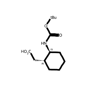 CC(C)(C)OC(=O)N[C@H]1CCCC[C@@H]1CC(=O)O